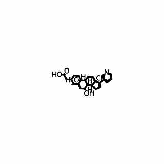 C[C@]12CC[C@H](CC(=O)O)CC1=C[C@H](O)[C@@H]1[C@@H]2CC[C@]2(C)C(c3cccnc3)=CC[C@@H]12